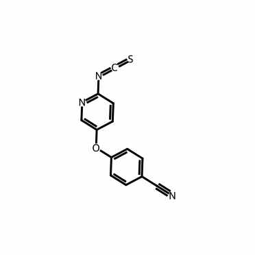 N#Cc1ccc(Oc2ccc(N=C=S)nc2)cc1